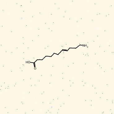 NCCC/C=C/CCCCCCC(=O)O